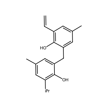 C=Cc1cc(C)cc(Cc2cc(C)cc(C(C)C)c2O)c1O